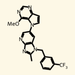 COc1ncnc2ccn(-c3cnc4nc(C)n(Cc5cccc(C(F)(F)F)c5)c4c3)c12